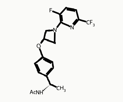 CC(=O)N[C@@H](C)c1ccc(OC2CN(c3nc(C(F)(F)F)ccc3F)C2)cc1